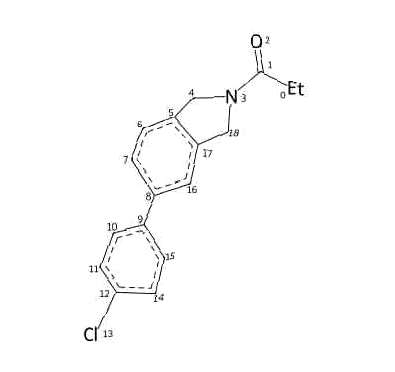 CCC(=O)N1Cc2ccc(-c3ccc(Cl)cc3)cc2C1